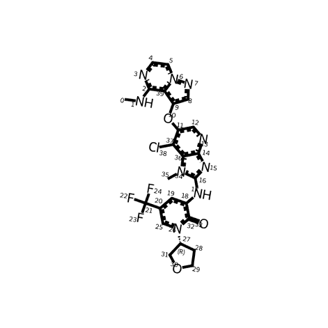 CNc1nccn2ncc(Oc3cnc4nc(Nc5cc(C(F)(F)F)cn([C@@H]6CCOC6)c5=O)n(C)c4c3Cl)c12